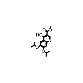 COC(=O)c1cnc2cc(OC(C)C)c(OC(C)C)cc2c1O